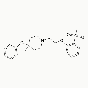 CC1(Oc2ccccc2)CCN(CCOc2ccccc2S(C)(=O)=O)CC1